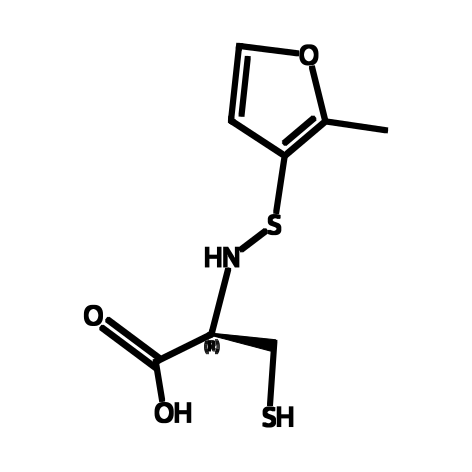 Cc1occc1SN[C@@H](CS)C(=O)O